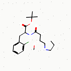 CO[C@@H]([C@@H]1CCCN1)[C@@H](C)C(=O)NC(Cc1ccccc1F)C(=O)OC(C)(C)C